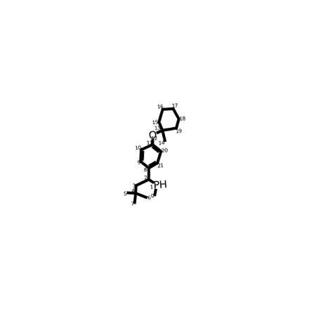 CPC(CC(C)(C)C)c1ccc(OC2(C)CCCCC2)cc1